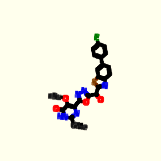 CCCCOc1c(-c2nnc(C(=O)c3nc4ccc(-c5ccc(F)cc5)cc4s3)o2)nc(OC)[nH]c1=O